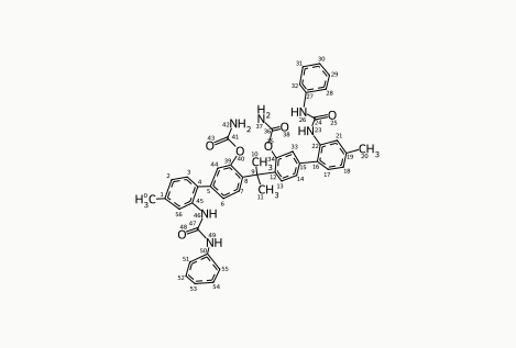 Cc1ccc(-c2ccc(C(C)(C)c3ccc(-c4ccc(C)cc4NC(=O)Nc4ccccc4)cc3OC(N)=O)c(OC(N)=O)c2)c(NC(=O)Nc2ccccc2)c1